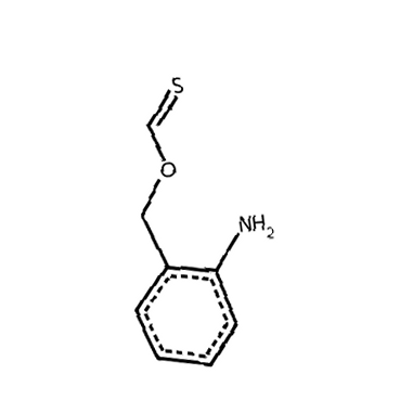 Nc1ccccc1COC=S